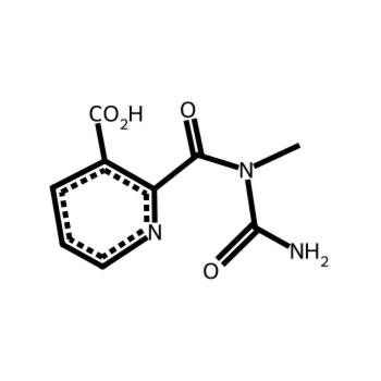 CN(C(N)=O)C(=O)c1ncccc1C(=O)O